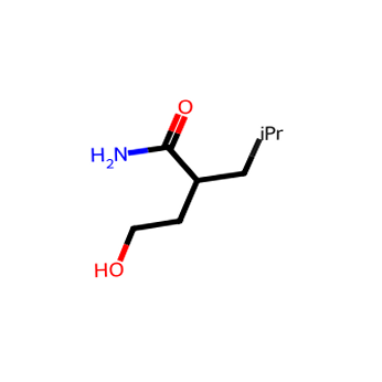 CC(C)CC(CCO)C(N)=O